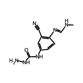 CN/C=N/c1ccc(NC(=O)NN)cc1C#N